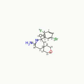 CC1(c2cc(Br)ccc2F)CC2(CCOCC2)CCC(N)=N1